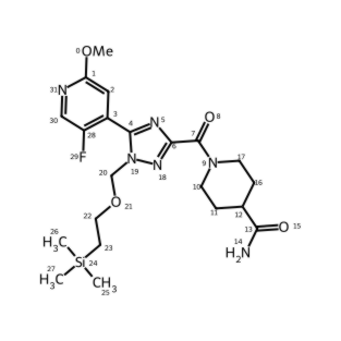 COc1cc(-c2nc(C(=O)N3CCC(C(N)=O)CC3)nn2COCC[Si](C)(C)C)c(F)cn1